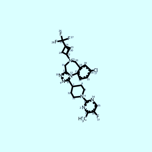 Cc1nc(N2CCC(c3nnc4n3-c3ccc(Cl)cc3CN(C35CC(C(F)(F)F)(C3)C5)C4)CC2)ncc1F